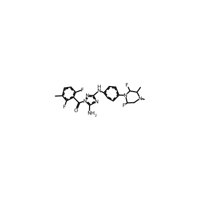 Cc1ccc(F)c(C(=O)n2nc(Nc3ccc(N4C(F)CN(C)C(C)C4F)cc3)nc2N)c1F